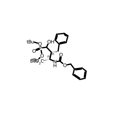 CCOC(=O)[C@@H](NC(=O)OCc1ccccc1)[C@@H](Cc1ccccc1)C(O)P(=O)(OC(C)(C)C)OC(C)(C)C